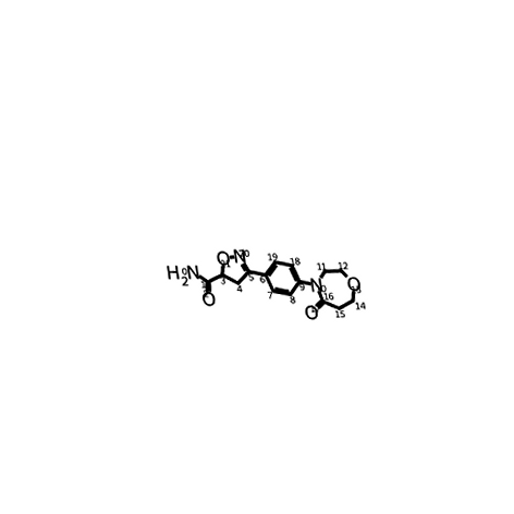 NC(=O)C1CC(c2ccc(N3CCOCCC3=O)cc2)=NO1